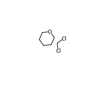 C1CCOCC1.ClCCl